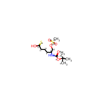 CC(C)(C)OC(=O)NC(CCCC(O)=S)COS(C)(=O)=O